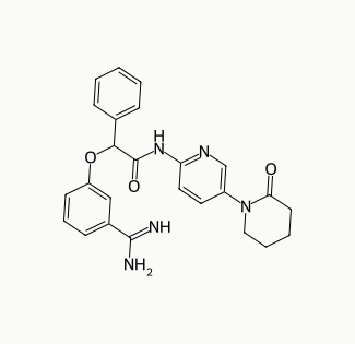 N=C(N)c1cccc(OC(C(=O)Nc2ccc(N3CCCCC3=O)cn2)c2ccccc2)c1